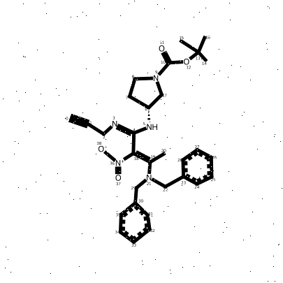 C#CC/N=C(N[C@@H]1CCN(C(=O)OC(C)(C)C)C1)\C(=C(/C)N(Cc1ccccc1)Cc1ccccc1)[N+](=O)[O-]